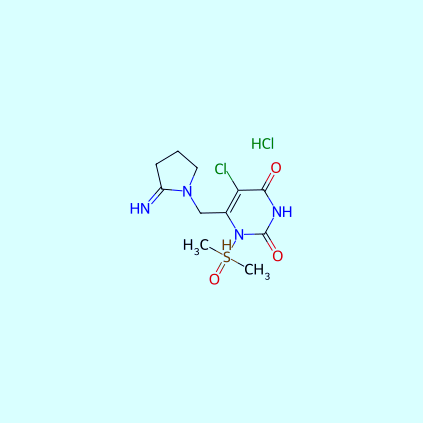 C[SH](C)(=O)n1c(CN2CCCC2=N)c(Cl)c(=O)[nH]c1=O.Cl